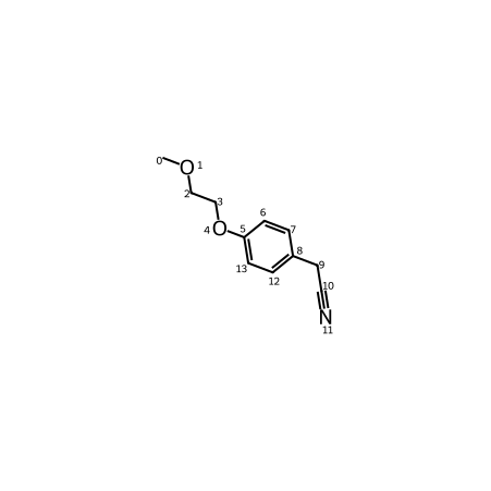 COCCOc1ccc(CC#N)cc1